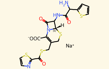 NC(C(=O)NC1C(=O)N2C(C(=O)[O-])=C(CSC(=O)c3nccs3)CS[C@@H]12)c1cccs1.[Na+]